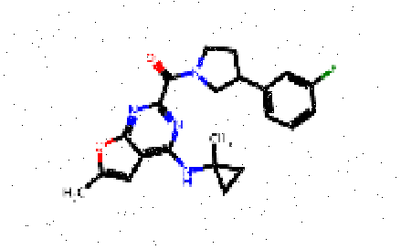 Cc1cc2c(NC3(C)CC3)nc(C(=O)N3CCC(c4cccc(F)c4)C3)nc2o1